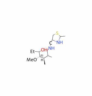 CCC(O)[C@@H](OC)[C@H](C)C(C)CNCC1CSC(C)N1